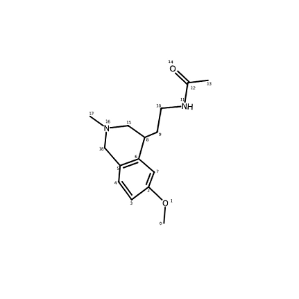 COc1ccc2c(c1)C(CCNC(C)=O)CN(C)C2